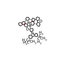 CC(C)(C)c1ccc2c(c1)c1cc(C(C)(C)C)ccc1n2-c1ccc2c(c1)Oc1cc(-c3ccccc3)cc3c1B2c1cc(-c2cccc4oc5ccccc5c24)ccc1N3c1c(-c2ccccc2)cccc1-c1ccccc1